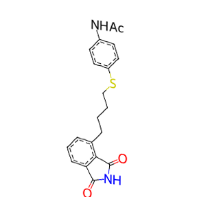 CC(=O)Nc1ccc(SCCCCc2cccc3c2C(=O)NC3=O)cc1